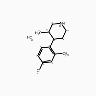 Cc1cc(Cl)ccc1C1CCNCC1C.Cl